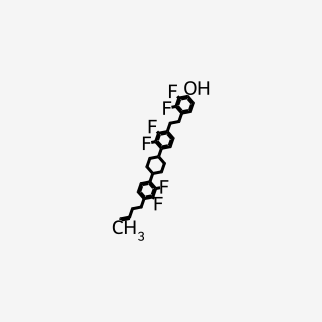 C/C=C/CCc1ccc(C2CCC(c3ccc(CCc4ccc(O)c(F)c4F)c(F)c3F)CC2)c(F)c1F